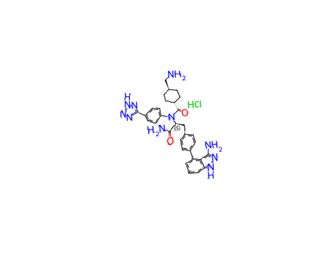 Cl.NC[C@H]1CC[C@H](C(=O)N(c2ccc(-c3nn[nH]n3)cc2)[C@@H](Cc2ccc(-c3cccc4[nH]nc(N)c34)cc2)C(N)=O)CC1